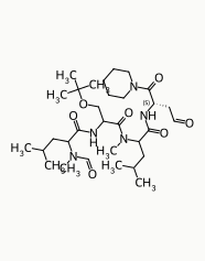 CC(C)CC(C(=O)NC(COC(C)(C)C)C(=O)N(C)C(CC(C)C)C(=O)N[C@@H](CC=O)C(=O)N1CCCCC1)N(C)C=O